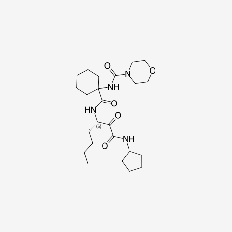 CCCC[C@H](NC(=O)C1(NC(=O)N2CCOCC2)CCCCC1)C(=O)C(=O)NC1CCCC1